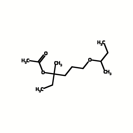 CCC(C)OCCCC(C)(CC)OC(C)=O